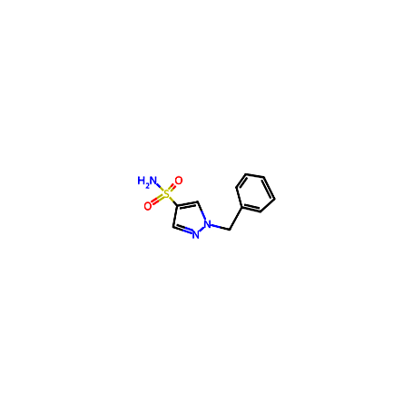 NS(=O)(=O)c1cnn(Cc2ccccc2)c1